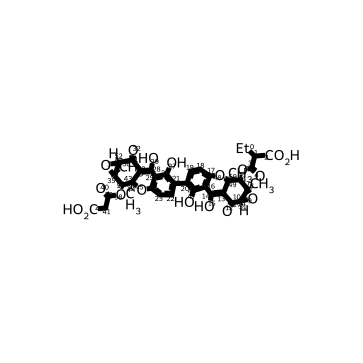 CCC(C(=O)O)C(=O)O[C@H]1[C@@]2(C)O[C@H]2C(=O)C2=C(O)c3c(ccc(-c4ccc5c(c4O)C(O)=C4C(=O)[C@@H]6O[C@]6(C)[C@H](OC(=O)CC(=O)O)[C@]4(C)O5)c3O)O[C@]21C